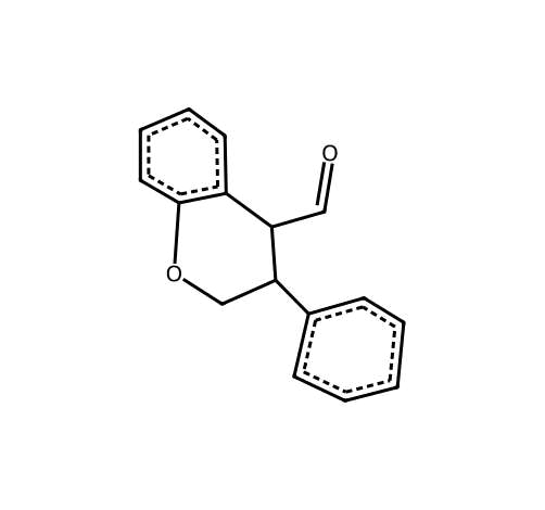 O=CC1c2ccccc2OCC1c1ccccc1